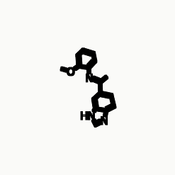 COc1ccccc1N=C(C)c1ccc2nc[nH]c2c1